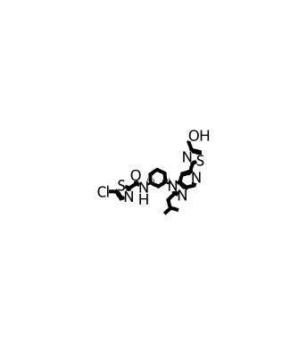 CC(C)Cc1nc2cnc(-c3nc(CO)cs3)cc2n1[C@@H]1CCC[C@H](NC(=O)c2ncc(Cl)s2)C1